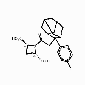 O=C(O)[C@@H]1C[C@@H](C(=O)O)N1C(=O)CC1(c2ccc(F)cc2)C2CC3CC(C2)CC1C3